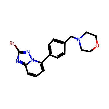 Brc1nc2cccc(-c3ccc(CN4CCOCC4)cc3)n2n1